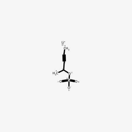 CC#CC(C)OS(=O)(=O)[O-].[Li+]